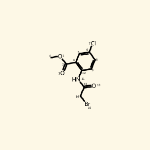 COC(=O)c1cc(Cl)ccc1NC(=O)CBr